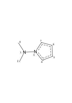 CN(C)n1[c]ccc1